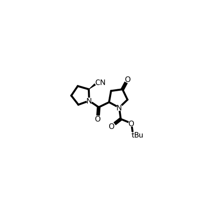 CC(C)(C)OC(=O)N1CC(=O)CC1C(=O)N1CCC[C@H]1C#N